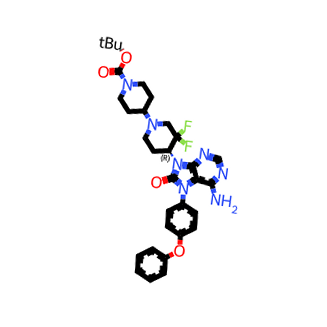 CC(C)(C)OC(=O)N1CCC(N2CC[C@@H](n3c(=O)n(-c4ccc(Oc5ccccc5)cc4)c4c(N)ncnc43)C(F)(F)C2)CC1